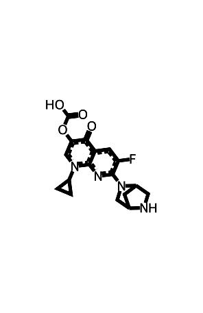 O=C(O)Oc1cn(C2CC2)c2nc(N3CC4CC3CN4)c(F)cc2c1=O